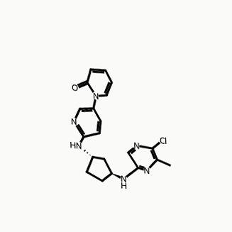 Cc1nc(N[C@H]2CC[C@H](Nc3ccc(-n4ccccc4=O)cn3)C2)cnc1Cl